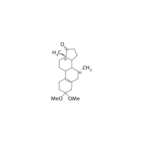 COC1(OC)CCC2=C(C[C@@H](C)C3C2CC[C@]2(C)C(=O)CCC32)C1